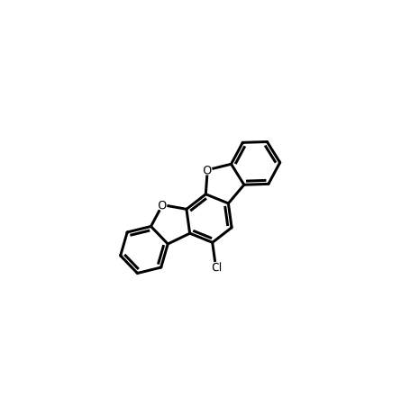 Clc1cc2c3ccccc3oc2c2oc3ccccc3c12